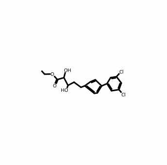 CCOC(=O)C(O)C(O)CCc1ccc(-c2cc(Cl)cc(Cl)c2)cc1